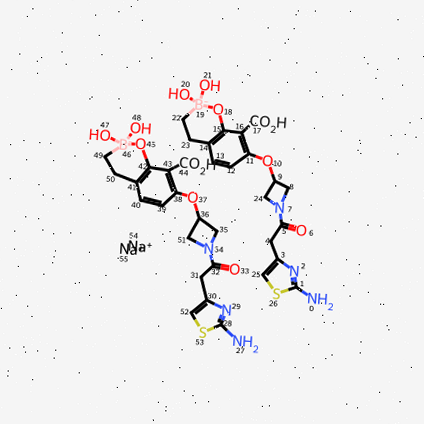 Nc1nc(CC(=O)N2CC(Oc3ccc4c(c3C(=O)O)O[B-](O)(O)CC4)C2)cs1.Nc1nc(CC(=O)N2CC(Oc3ccc4c(c3C(=O)O)O[B-](O)(O)CC4)C2)cs1.[Na+].[Na+]